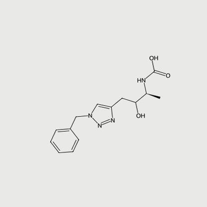 C[C@H](NC(=O)O)C(O)Cc1cn(Cc2ccccc2)nn1